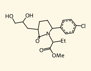 CCC(C(=O)OC)N1C(=O)C(CC(O)CO)CCC1c1ccc(Cl)cc1